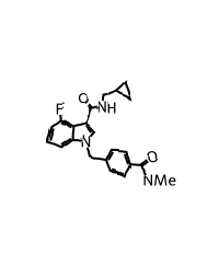 CNC(=O)c1ccc(Cn2cc(C(=O)NCC3CC3)c3c(F)cccc32)cc1